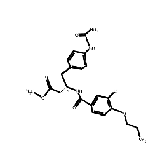 CCCOc1ccc(C(=O)N[C@H](CC(=O)OC)Cc2ccc(NC(N)=O)cc2)cc1Cl